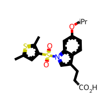 Cc1cc(S(=O)(=O)n2cc(CCC(=O)O)c3ccc(OC(C)C)cc32)c(C)s1